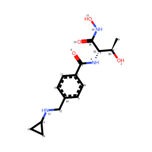 C[C@@H](O)[C@H](NC(=O)c1ccc(CNC2CC2)cc1)C(=O)NO